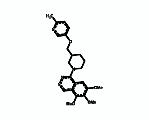 COc1cc2c(N3CCCC(COc4ccc(C)nc4)C3)nncc2c(OC)c1OC